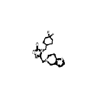 O=c1onc(CN2CCc3sccc3C2)n1CC1CCC(F)(F)CC1